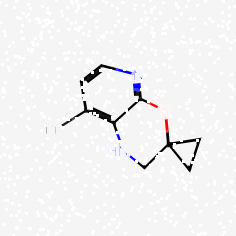 CCCc1ccnc2c1NCC1(CC1)O2